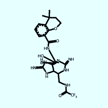 CC1(C)CCOc2c(C(=O)NC3CN4C(=N)NC(CNC(=O)C(F)(F)F)C5NC(=N)NC54C3(O)O)cccc21